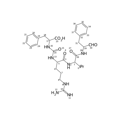 CC(C)C(NC(=O)C(CCCNC(=N)N)NC(=O)NC(Cc1ccccc1)C(=O)O)C(=O)NC(C=O)Cc1ccccc1